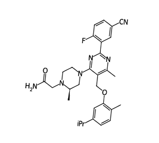 Cc1ccc(C(C)C)cc1OCc1c(C)nc(-c2cc(C#N)ccc2F)nc1N1CCN(CC(N)=O)[C@H](C)C1